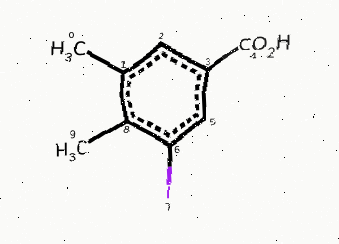 Cc1cc(C(=O)O)cc(I)c1C